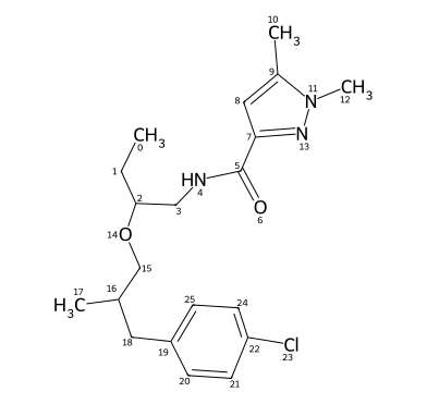 CCC(CNC(=O)c1cc(C)n(C)n1)OCC(C)Cc1ccc(Cl)cc1